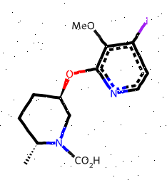 COc1c(I)ccnc1O[C@@H]1CC[C@@H](C)N(C(=O)O)C1